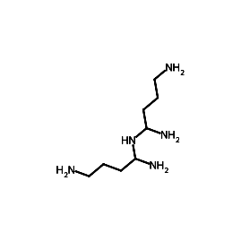 NCCCC(N)NC(N)CCCN